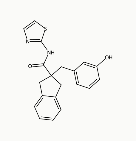 O=C(Nc1nccs1)C1(Cc2cccc(O)c2)Cc2ccccc2C1